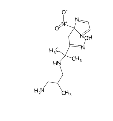 CC(CN)CNC(C)(C)/C(CC1([N+](=O)[O-])N=CC=N1)=N/O